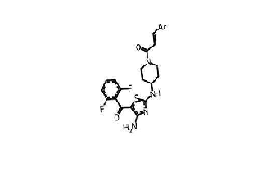 CC(=O)/C=C/C(=O)N1CCC(Nc2nc(N)c(C(=O)c3c(F)cccc3F)s2)CC1